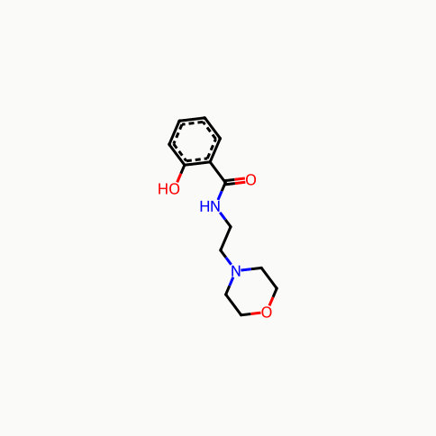 O=C(NCCN1CCOCC1)c1ccccc1O